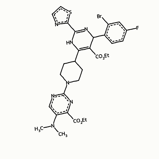 CCOC(=O)C1=C(C2CCN(c3ncc(N(C)C)c(C(=O)OCC)n3)CC2)NC(c2nccs2)=NC1c1ccc(F)cc1Br